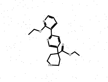 CCOC(=O)C1(c2ccc(-c3cccnc3OCC)nc2)CCNCC1